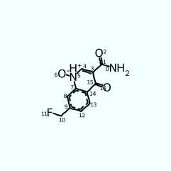 NC(=O)C1=C[NH+]([O-])c2cc(CF)ccc2C1=O